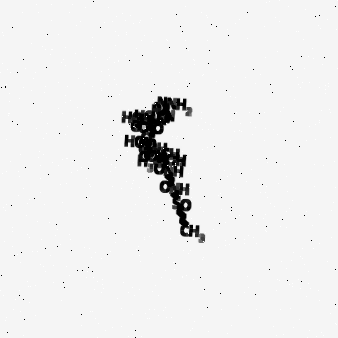 CCCCCC(=O)SCCNC(=O)CCNC(=O)C(O)C(C)(C)COP(=O)(O)OP(=O)(O)OCC1OC(n2cnc3c(N)ncnc32)C(O)C1OP(=O)(O)O